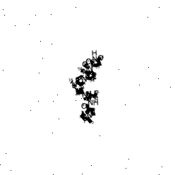 Cc1ccnc2c(C(=O)Nc3cn([C@H]4C[C@H](CN(C)C5CCN(c6cccc7c6n(C)c(=O)n7C6CCC(=O)NC6=O)CC5)C4)nc3C(F)F)ccn12